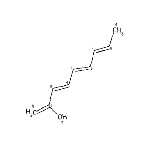 C=C(O)/C=C/C=C/C=C/C